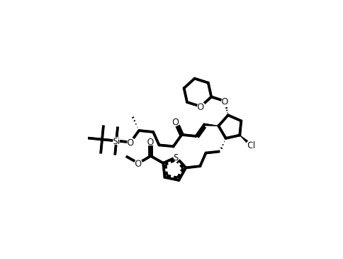 COC(=O)c1ccc(CCC[C@@H]2[C@@H](C=CC(=O)CCC[C@@H](C)O[Si](C)(C)C(C)(C)C)[C@H](OC3CCCCO3)C[C@H]2Cl)s1